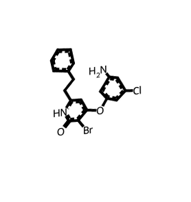 Nc1cc(Cl)cc(Oc2cc(CCc3ccccc3)[nH]c(=O)c2Br)c1